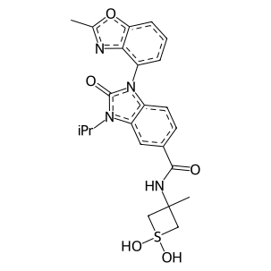 Cc1nc2c(-n3c(=O)n(C(C)C)c4cc(C(=O)NC5(C)CS(O)(O)C5)ccc43)cccc2o1